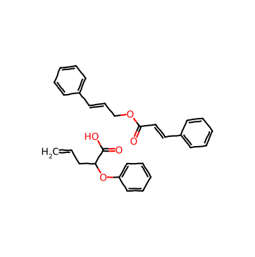 C=CCC(Oc1ccccc1)C(=O)O.O=C(C=Cc1ccccc1)OCC=Cc1ccccc1